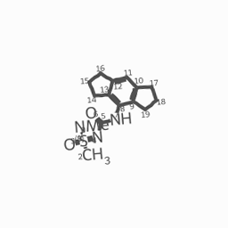 CN[S@](C)(=O)=NC(=O)Nc1c2c(cc3c1CCC3)CCC2